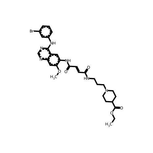 CCOC(=O)C1CCN(CCCNC(=O)/C=C/C(=O)Nc2cc3c(Nc4cccc(Br)c4)ncnc3cc2OC)CC1